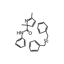 CC1=NC(C)(C(=O)Nc2ccccc2)C=C1.c1ccc([CH2][Sc][CH2]c2ccccc2)cc1